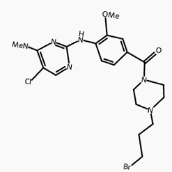 CNc1nc(Nc2ccc(C(=O)N3CCN(CCCBr)CC3)cc2OC)ncc1Cl